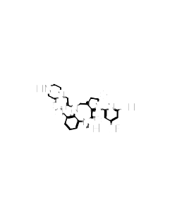 Cc1cc(C(F)(F)F)cc(N2C(=O)C[C@@H]3CN(CCN4CCNC[C@@H]4C)c4c(Cl)cccc4N(C)C(=O)[C@H]32)n1